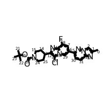 Cc1cn2nc(-c3cc(F)c4nc(C5CCN(C(=O)OC(C)(C)C)CC5)c(Cl)n4c3)ccc2n1